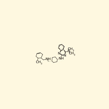 CC1CC=CCC1CNC[C@H]1CC[C@@H](Nc2nc(N(C)C)c3ccccc3n2)CC1